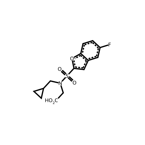 O=C(O)CN(CC1CC1)S(=O)(=O)c1cc2cc(F)ccc2o1